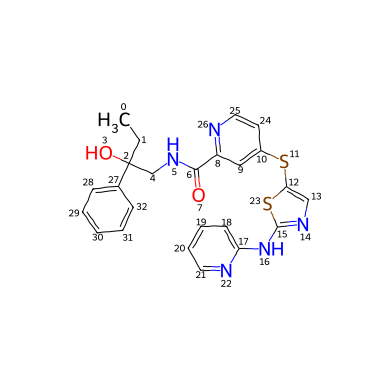 CCC(O)(CNC(=O)c1cc(Sc2cnc(Nc3ccccn3)s2)ccn1)c1ccccc1